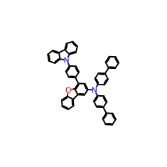 c1ccc(-c2ccc(N(c3ccc(-c4ccccc4)cc3)c3cc(-c4ccc(-n5c6ccccc6c6ccccc65)cc4)c4oc5ccccc5c4c3)cc2)cc1